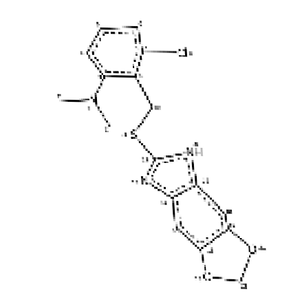 CN(C)c1cccc(Cl)c1CSc1nc2cc3c(cc2[nH]1)OCO3